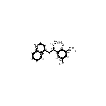 NN=C(Cc1ccnc2ccccc12)c1cc(F)cc(C(F)(F)F)c1